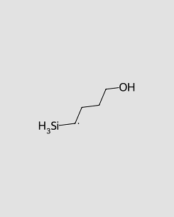 OCCC[CH][SiH3]